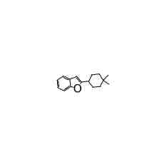 CC1(C)CCC(c2cc3ccccc3o2)CC1